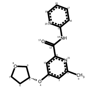 Cc1cc(O[C@@H]2CCOC2)cc(C(=O)Nc2ccccn2)n1